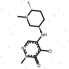 C[C@@H]1CC[C@@H](Nc2cnn(C)c(=O)c2Cl)CN1C